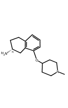 CN1CCC(Oc2cccc3c2C[C@H](N)CC3)CC1